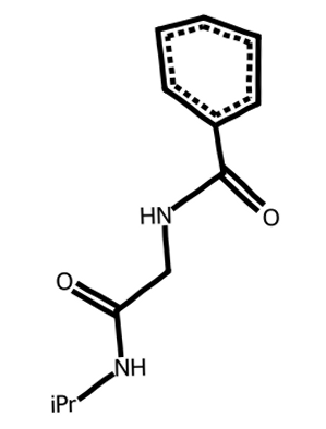 CC(C)NC(=O)CNC(=O)c1ccccc1